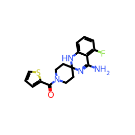 NC1=NC2(CCN(C(=O)c3cccs3)CC2)Nc2cccc(F)c21